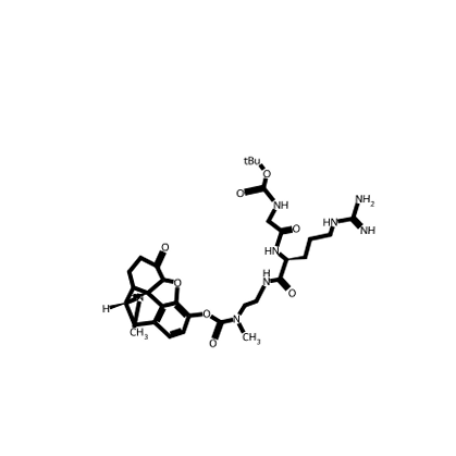 CN(CCNC(=O)[C@H](CCCNC(=N)N)NC(=O)CNC(=O)OC(C)(C)C)C(=O)Oc1ccc2c3c1OC1C(=O)CCC4[C@@H](C2)N(C)C[C@]314